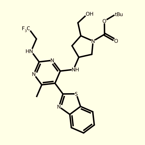 Cc1nc(NCC(F)(F)F)nc(NC2CC(CO)N(C(=O)OC(C)(C)C)C2)c1-c1nc2ccccc2s1